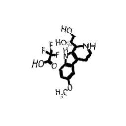 COc1ccc2[nH]c3c(c2c1)CCNC3[C@H](O)CO.O=C(O)C(F)(F)F